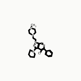 CN1CCN(CCn2nc(N3CCCCC3)c3c(Cl)c(-c4ccccc4)nnc32)CC1